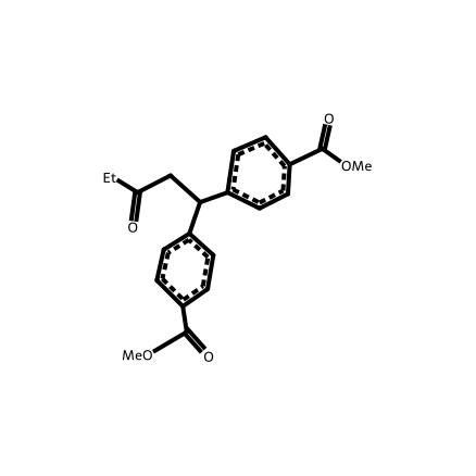 CCC(=O)CC(c1ccc(C(=O)OC)cc1)c1ccc(C(=O)OC)cc1